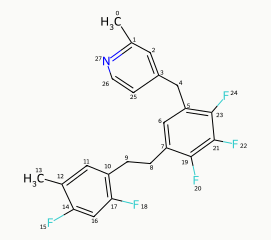 Cc1cc(Cc2cc(CCc3cc(C)c(F)cc3F)c(F)c(F)c2F)ccn1